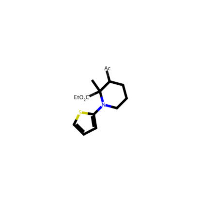 CCOC(=O)C1(C)C(C(C)=O)CCCN1c1cccs1